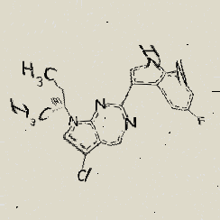 CC[C@@H](C)n1cc(Cl)c2cnc(-c3c[nH]c4ncc(F)cc34)nc21